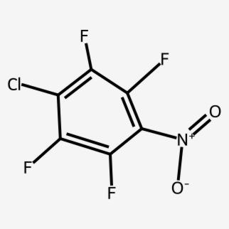 O=[N+]([O-])c1c(F)c(F)c(Cl)c(F)c1F